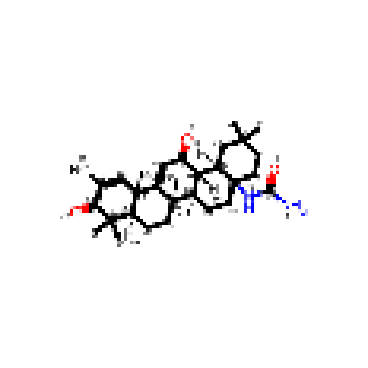 CC1(C)CC[C@]2(NC(N)=O)CC[C@]3(C)[C@H](C(=O)C=C4[C@@]5(C)C=C(C#N)C(=O)C(C)(C)[C@@H]5CC[C@]43C)[C@H]2C1